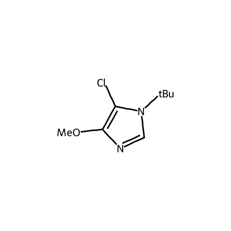 COc1ncn(C(C)(C)C)c1Cl